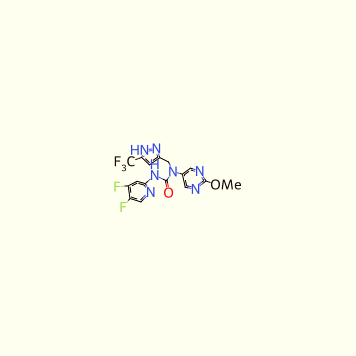 COc1ncc(N(Cc2cc(C(F)(F)F)[nH]n2)C(=O)Nc2cc(F)c(F)cn2)cn1